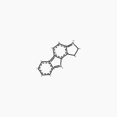 c1ccc2c(c1)=Nc1c3c(ccc1=2)=NCC3